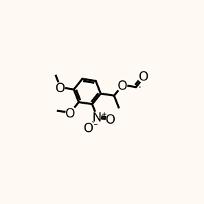 COc1ccc(C(C)O[C]=O)c([N+](=O)[O-])c1OC